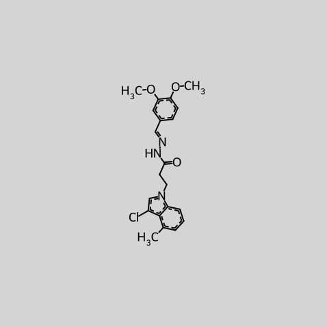 COc1ccc(C=NNC(=O)CCn2cc(Cl)c3c(C)cccc32)cc1OC